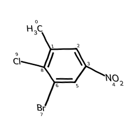 Cc1cc([N+](=O)[O-])cc(Br)c1Cl